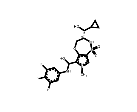 Cn1cc2c(c1C(O)Nc1cc(F)c(F)c(F)c1)OC[C@H](C(O)C1CC1)NS2(=O)=O